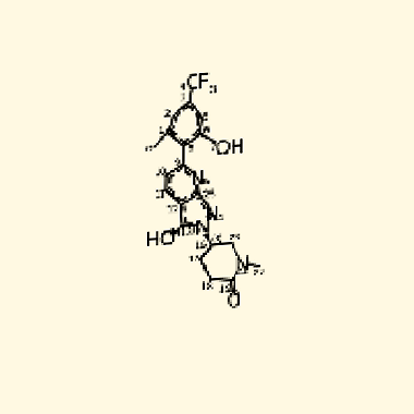 Cc1cc(C(F)(F)F)cc(O)c1-c1ccc2c(O)n([C@@H]3CCC(=O)N(C)C3)nc2n1